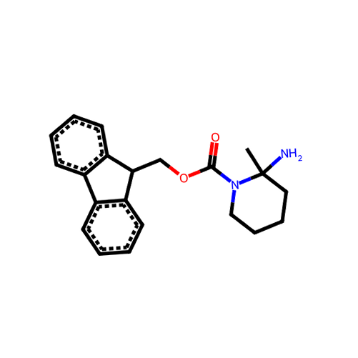 CC1(N)CCCCN1C(=O)OCC1c2ccccc2-c2ccccc21